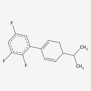 CC(C)C1C=CC(c2cc(F)cc(F)c2F)=CC1